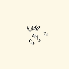 [AlH3].[Cu].[MgH2].[Ti]